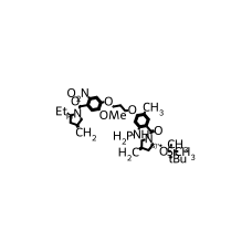 C=C1C[C@@H](CO[Si](C)(C)C(C)(C)C)N(C(=O)c2cc(C)c(OCCCOc3cc([N+](=O)[O-])c(C(=O)N4CC(=C)C[C@H]4CC)cc3OC)cc2NP)C1